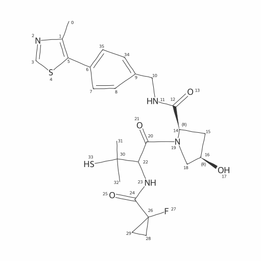 Cc1ncsc1-c1ccc(CNC(=O)[C@H]2C[C@@H](O)CN2C(=O)C(NC(=O)C2(F)CC2)C(C)(C)S)cc1